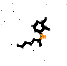 CCCCCC(C)Pc1cccc(C)c1C